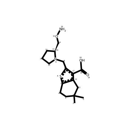 CC1(C)CCc2sc(CN3CCC[C@H]3CON)c(C(=O)O)c2C1